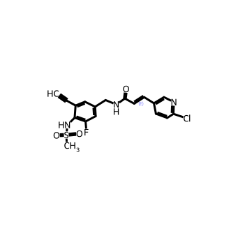 C#Cc1cc(CNC(=O)/C=C/c2ccc(Cl)nc2)cc(F)c1NS(C)(=O)=O